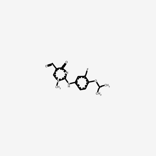 CC(C)Oc1ccc(Nc2nc(=O)c(C=O)cn2C)cc1F